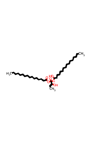 CC=C(O)C(O)(OC(=O)CCCCCCCCCCCCCCC)OC(=O)CCCCCCCCCCCCCCC